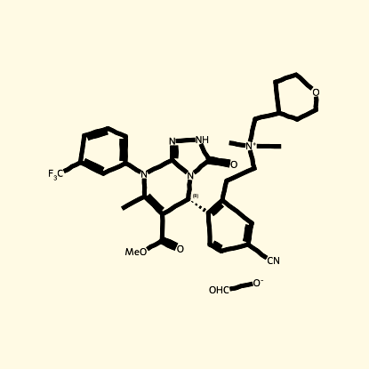 COC(=O)C1=C(C)N(c2cccc(C(F)(F)F)c2)c2n[nH]c(=O)n2[C@@H]1c1ccc(C#N)cc1CC[N+](C)(C)CC1CCOCC1.O=C[O-]